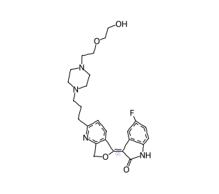 O=C1Nc2ccc(F)cc2/C1=C1/OCc2nc(CCCN3CCN(CCOCCO)CC3)ccc21